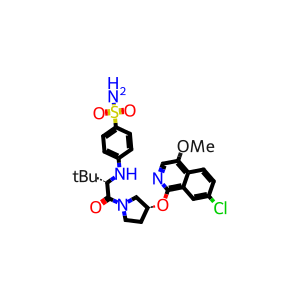 COc1cnc(O[C@@H]2CCN(C(=O)[C@@H](Nc3ccc(S(N)(=O)=O)cc3)C(C)(C)C)C2)c2cc(Cl)ccc12